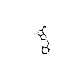 O=Cc1n[nH]c2c1CN(Cc1cccnc1)C2